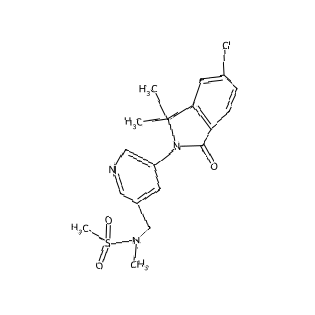 CN(Cc1cncc(N2C(=O)c3ccc(Cl)cc3C2(C)C)c1)S(C)(=O)=O